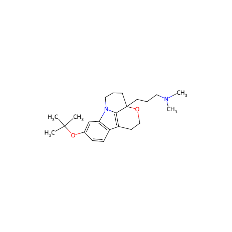 CN(C)CCCC12CCCn3c1c(c1ccc(OC(C)(C)C)cc13)CCO2